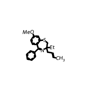 CC=CCC1(CC)CSc2cc(OC)ccc2C(c2ccccc2)=N1